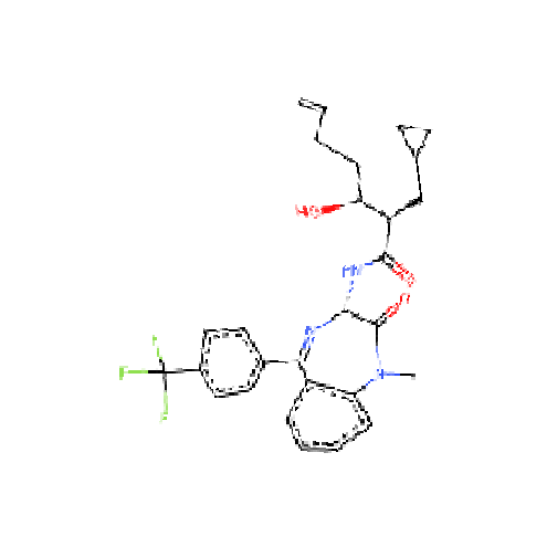 C=CCC[C@H](O)[C@@H](CC1CC1)C(=O)N[C@H]1N=C(c2ccc(C(F)(F)F)cc2)c2ccccc2N(C)C1=O